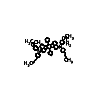 CCCCc1ccc(N(c2ccc(OC(C)C)cc2)c2ccc3c4c(-c5ccccc5)c5c6ccc(N(c7ccc(CCCC)cc7)c7ccc(OC(C)C)cc7)c7cccc(c5c(-c5ccccc5)c4c4cccc2c43)c76)cc1